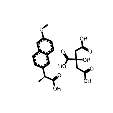 COc1ccc2cc([C@H](C)C(=O)O)ccc2c1.O=C(O)CC(O)(CC(=O)O)C(=O)O